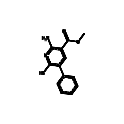 COC(=O)c1cc(-c2ccccc2)c(S)nc1N